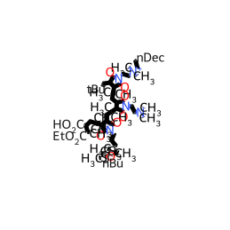 CCCCCCCCCCCC[N+](C)(C)CCN1C(=O)C(CC(C)(C)C)C(C(C)(C)CC2C(=O)N(CCN(C)C)C(=O)C2C(C)(C)CC2C(=O)N(CCC[Si](C)(C)O[Si](C)(C)CCCC)C(=O)C2C(C)(C)CC(C(=O)O)C(C)C(=O)OCC)C1=O